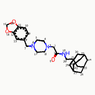 O=C(CN1CCN(Cc2ccc3c(c2)OCO3)CC1)NCC12CC3CC(CC(C3)C1)C2